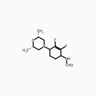 C[C@@H]1CN(C2CCC(NC=O)C(F)=C2F)C[C@H](C)O1